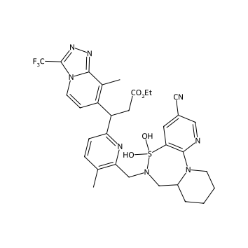 CCOC(=O)CC(c1ccc(C)c(CN2CC3CCCCN3c3ncc(C#N)cc3S2(O)O)n1)c1ccn2c(C(F)(F)F)nnc2c1C